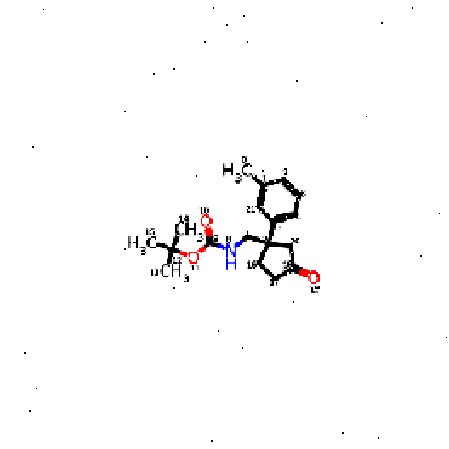 Cc1cccc(C2(CNC(=O)OC(C)(C)C)CCC(=O)C2)c1